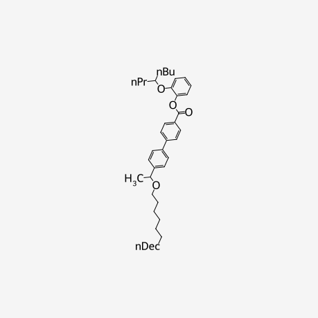 CCCCCCCCCCCCCCCCOC(C)c1ccc(-c2ccc(C(=O)Oc3ccccc3OC(CCC)CCCC)cc2)cc1